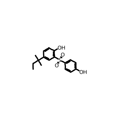 CCC(C)(C)c1ccc(O)c(S(=O)(=O)c2ccc(O)cc2)c1